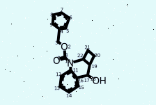 O=C(OCc1ccccc1)N1c2ccccc2C(O)C2CCC21